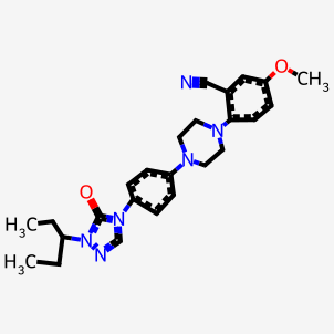 CCC(CC)n1ncn(-c2ccc(N3CCN(c4ccc(OC)cc4C#N)CC3)cc2)c1=O